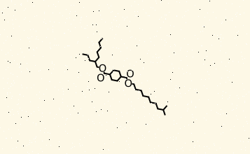 CCCCCC(CCC)COC(=O)C1CCC(C(=O)OCCCCCCCCC(C)C)CC1